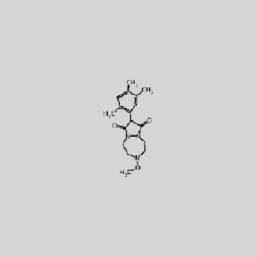 CON1CCN2C(=O)C(c3cc(C)c(C)cc3C)C(=O)N2CC1